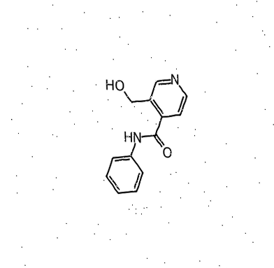 O=C(Nc1ccccc1)c1ccncc1CO